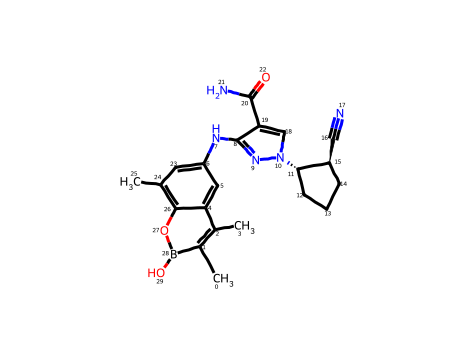 CC1=C(C)c2cc(Nc3nn([C@H]4CCC[C@@H]4C#N)cc3C(N)=O)cc(C)c2OB1O